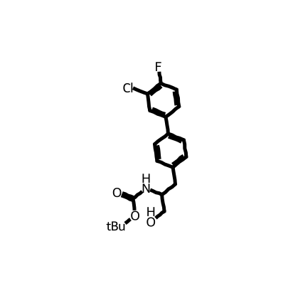 CC(C)(C)OC(=O)NC(CO)Cc1ccc(-c2ccc(F)c(Cl)c2)cc1